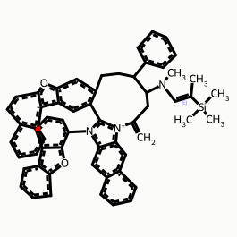 C=C1CC(N(C)/C=C(\C)[Si](C)(C)C)C(c2ccccc2)CCc2cc3oc4ccc5ccccc5c4c3cc2-c2n(-c3cccc4c3oc3ccccc34)c3cc4ccccc4cc3[n+]21